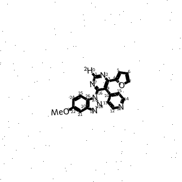 [2H]c1nc(-c2ccco2)c(-c2ccncc2)c(-n2nnc3cc(OC)ccc32)n1